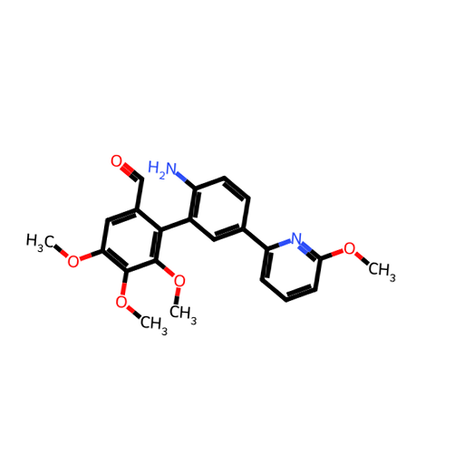 COc1cccc(-c2ccc(N)c(-c3c(C=O)cc(OC)c(OC)c3OC)c2)n1